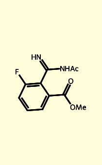 COC(=O)c1cccc(F)c1C(=N)NC(C)=O